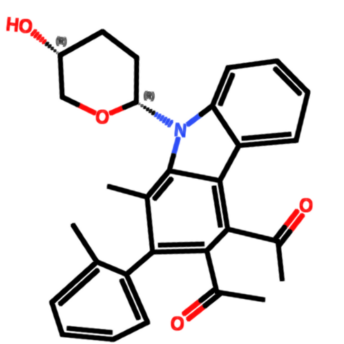 CC(=O)c1c(-c2ccccc2C)c(C)c2c(c1C(C)=O)c1ccccc1n2[C@H]1CC[C@@H](O)CO1